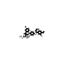 C=Cc1cc2nccc(Oc3ccc(N(C(=O)C4(C(N)=O)CC4)c4ccc(F)cc4)cc3)c2cc1C